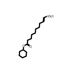 CCCCCCCCC=CCCCCCCCC(=O)OC1CCCCC1